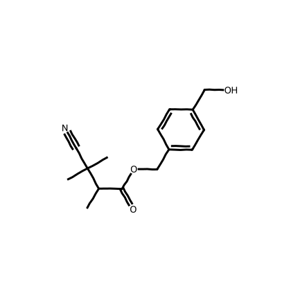 CC(C(=O)OCc1ccc(CO)cc1)C(C)(C)C#N